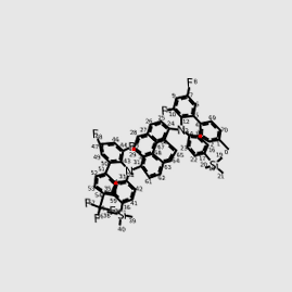 Cc1ccc(-c2cc(F)cc(F)c2N(c2ccc([Si](C)(C)C)cc2)c2ccc3ccc4c(N(c5ccc([Si](C)(C)C)cc5)c5c(F)cc(F)cc5-c5ccc(C(F)(F)F)cc5)ccc5ccc2c3c54)cc1